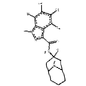 [2H]c1c([2H])c([2H])c2c(c(C(=O)NC3([2H])CC4CCCC(C3)N4C)nn2C)c1[2H]